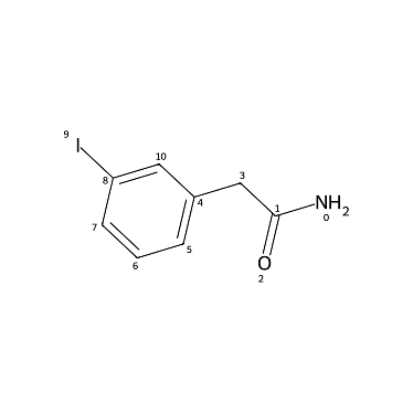 NC(=O)Cc1cccc(I)c1